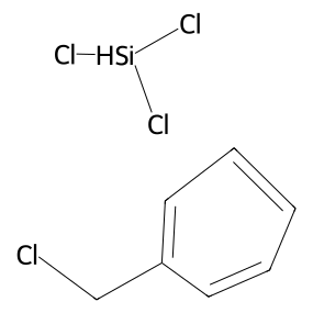 ClCc1ccccc1.Cl[SiH](Cl)Cl